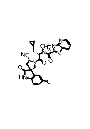 CN(C(=O)c1nc2cccnc2[nH]1)[C@@H](CC1CC1)C(=O)N1C[C@]2(C[C@H]1C#N)C(=O)Nc1ccc(Cl)cc12